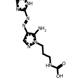 Nc1c(N=Nc2ncc[nH]2)cnn1CCCNC(=O)O